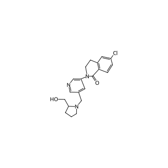 O=C1c2ccc(Cl)cc2CCN1c1cncc(CN2CCCC2CO)c1